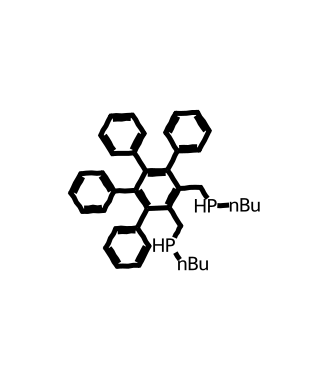 CCCCPCc1c(CPCCCC)c(-c2ccccc2)c(-c2ccccc2)c(-c2ccccc2)c1-c1ccccc1